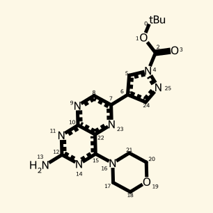 CC(C)(C)OC(=O)n1cc(-c2cnc3nc(N)nc(N4CCOCC4)c3n2)cn1